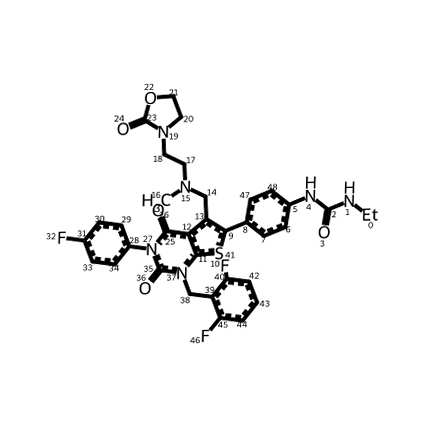 CCNC(=O)Nc1ccc(-c2sc3c(c2CN(C)CCN2CCOC2=O)c(=O)n(-c2ccc(F)cc2)c(=O)n3Cc2c(F)cccc2F)cc1